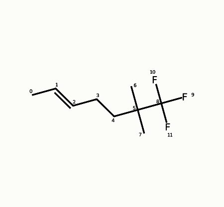 C/C=C/CCC(C)(C)C(F)(F)F